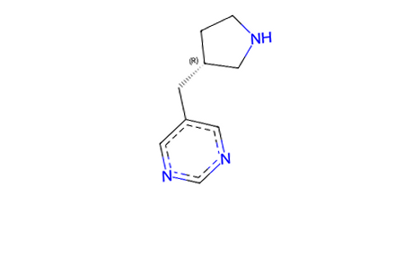 c1ncc(C[C@@H]2CCNC2)cn1